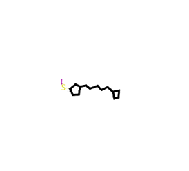 IS[C@H]1CCC(CCCCCC2CCC2)C1